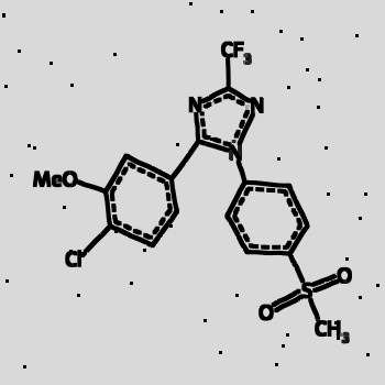 COc1cc(-c2nc(C(F)(F)F)nn2-c2ccc(S(C)(=O)=O)cc2)ccc1Cl